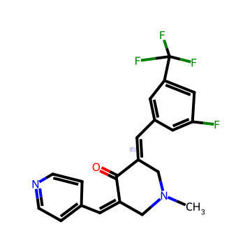 CN1CC(=Cc2ccncc2)C(=O)/C(=C/c2cc(F)cc(C(F)(F)F)c2)C1